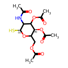 CC(=O)NC1C(OC(C)=O)[C@@H](OC(C)=O)C(COC(C)=O)O[C@H]1S